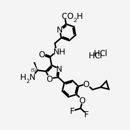 C[C@H](N)c1oc(-c2ccc(OC(F)F)c(OCC3CC3)c2)nc1C(=O)NCc1cccc(C(=O)O)n1.Cl.Cl